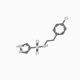 O=S(=O)(NCCc1ccc(Cl)cc1)c1cn[nH]c1